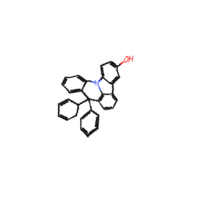 Oc1ccc2c(c1)c1cccc3c1n2-c1ccccc1C3(c1ccccc1)C1C=CC=CC1